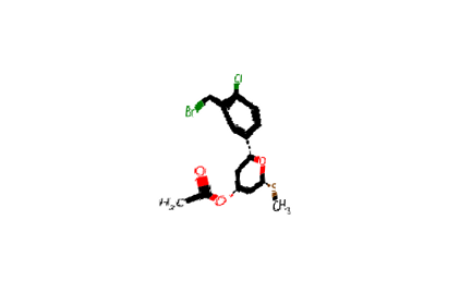 CS[C@@H]1C[C@H](OC(C)=O)C[C@H](c2ccc(Cl)c(CBr)c2)O1